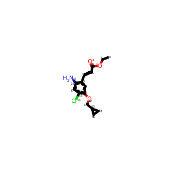 CCOC(=O)/C=C/c1cc(OCC2CC2)c(Cl)cc1N